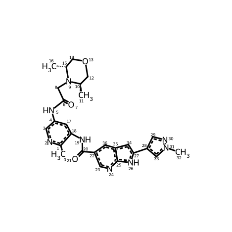 Cc1ncc(NC(=O)CN2[C@H](C)COC[C@H]2C)cc1NC(=O)c1cnc2[nH]c(-c3cnn(C)c3)cc2c1